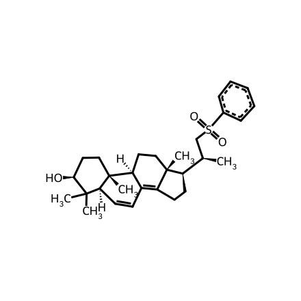 C[C@H](CS(=O)(=O)c1ccccc1)[C@H]1CCC2=C3C=C[C@H]4C(C)(C)[C@@H](O)CC[C@]4(C)[C@H]3CC[C@@]21C